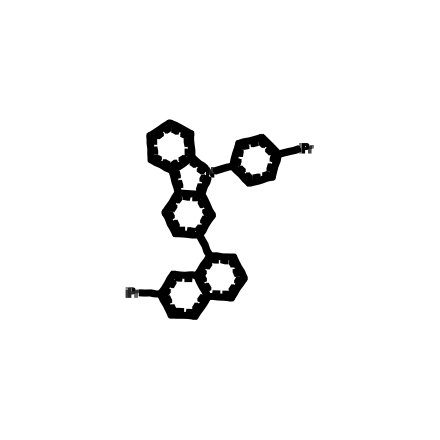 CC(C)c1ccc(-n2c3ccccc3c3ccc(-c4cccc5ccc(C(C)C)cc45)cc32)cc1